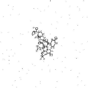 COC(=O)c1ccc(C[C@]2(C)O[C@H](c3cccc(Cl)c3)C(c3ccc(Cl)cc3)N(C(CSC(C)(C)C)C3CC3)C2=O)nc1